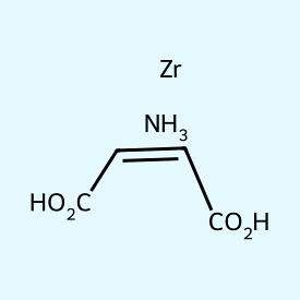 N.O=C(O)/C=C\C(=O)O.[Zr]